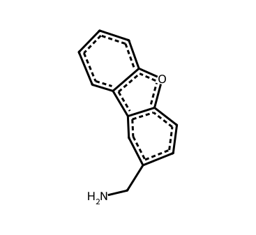 NCc1ccc2oc3ccccc3c2c1